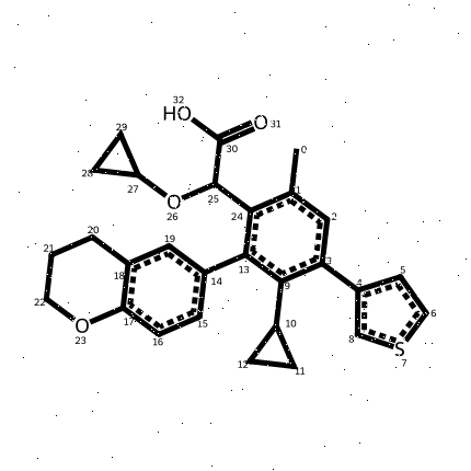 Cc1cc(-c2ccsc2)c(C2CC2)c(-c2ccc3c(c2)CCCO3)c1C(OC1CC1)C(=O)O